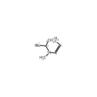 C/C=C\N(C)C(C)C(C)(C)C